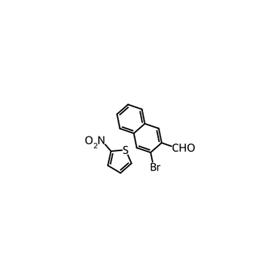 O=Cc1cc2ccccc2cc1Br.O=[N+]([O-])c1cccs1